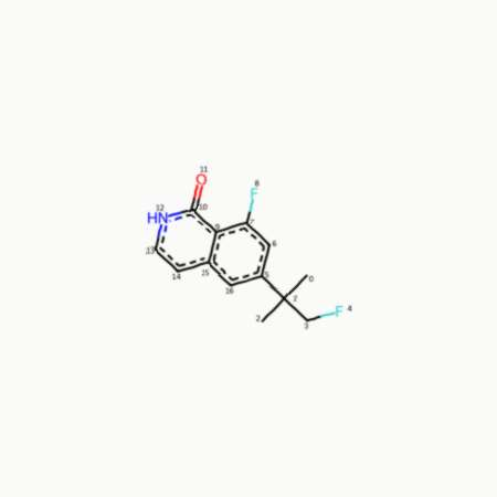 CC(C)(CF)c1cc(F)c2c(=O)[nH]ccc2c1